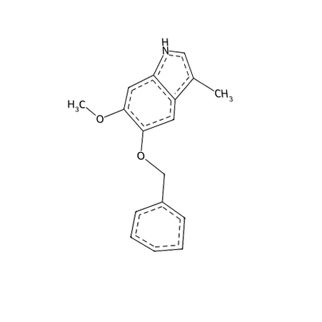 COc1cc2[nH]cc(C)c2cc1OCc1ccccc1